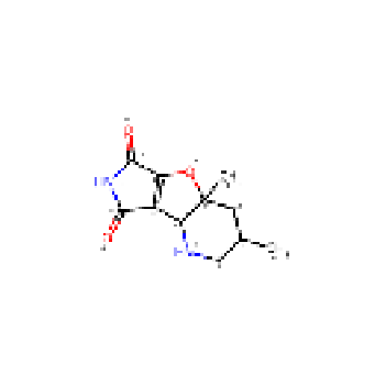 CC1CNC2C3=C(OC2(C)C1)C(=O)NC3=O